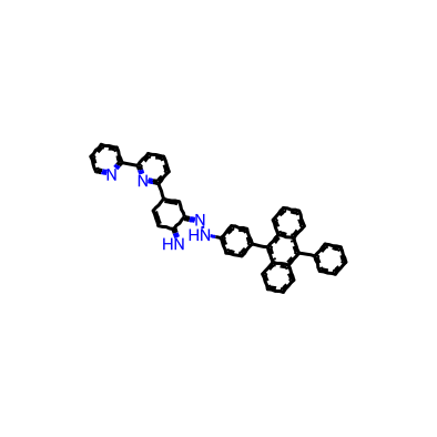 N=C1C=CC(c2cccc(-c3ccccn3)n2)=C/C1=N/Nc1ccc(-c2c3ccccc3c(-c3ccccc3)c3ccccc23)cc1